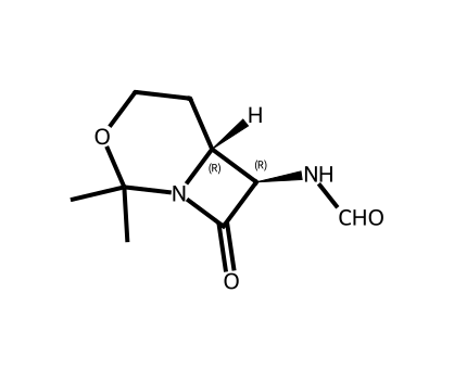 CC1(C)OCC[C@@H]2[C@@H](NC=O)C(=O)N21